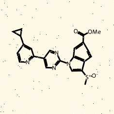 COC(=O)c1ccc2c([S+](C)[O-])cn(-c3ncc(-c4cc(C5CC5)ccn4)cn3)c2c1